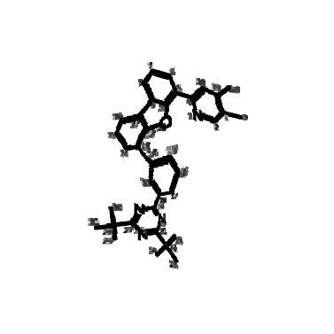 Cc1cnc(-c2cccc3c2oc2c(-c4cccc(-c5nc(C(C)(C)C)nc(C(C)(C)C)n5)c4)cccc23)cc1C